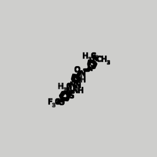 CN(C)C1CCN(CCNC(=O)c2ccc3c(c2)nc(Nc2nc4ccc(OC(F)(F)F)cc4s2)n3C)CC1